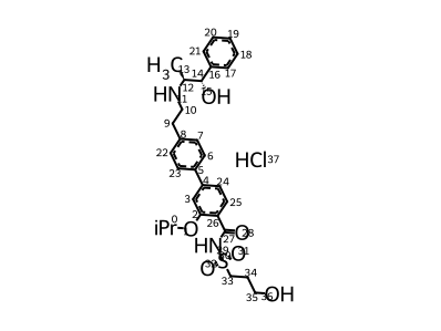 CC(C)Oc1cc(-c2ccc(CCN[C@@H](C)[C@@H](O)c3ccccc3)cc2)ccc1C(=O)NS(=O)(=O)CCCO.Cl